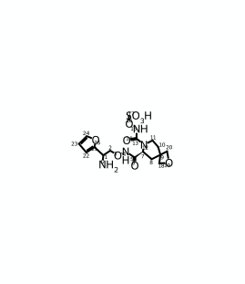 NC(CONC(=O)[C@@H]1CC2(CCN1C(=O)NOS(=O)(=O)O)COC2)c1ccco1